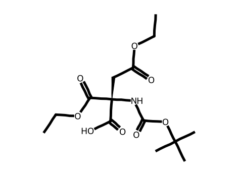 CCOC(=O)C[C@@](NC(=O)OC(C)(C)C)(C(=O)O)C(=O)OCC